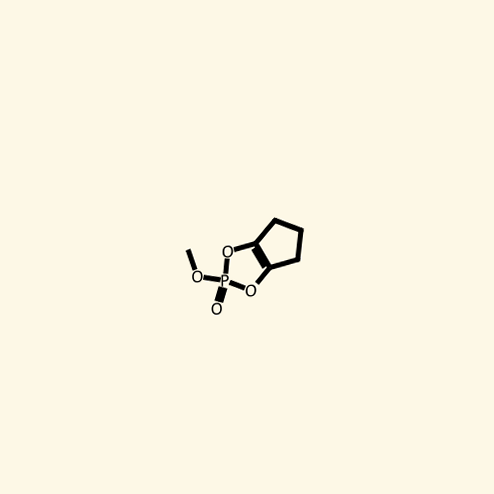 COP1(=O)OC2=C(CCC2)O1